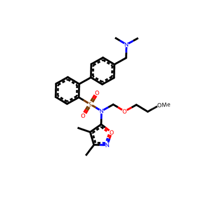 COCCOCN(c1onc(C)c1C)S(=O)(=O)c1ccccc1-c1ccc(CN(C)C)cc1